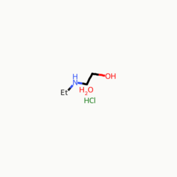 CCNCCO.Cl.O